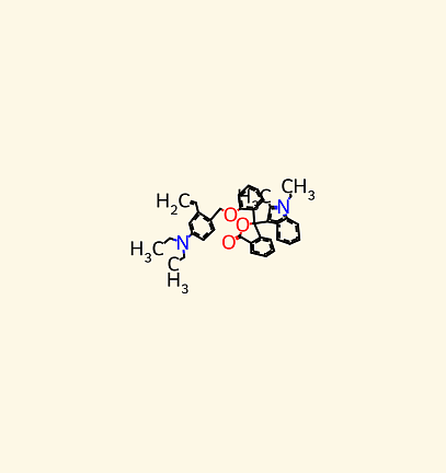 C=Cc1cc(N(CC)CC)ccc1COc1ccccc1C1(c2c(C)n(CC)c3ccccc23)OC(=O)c2ccccc21